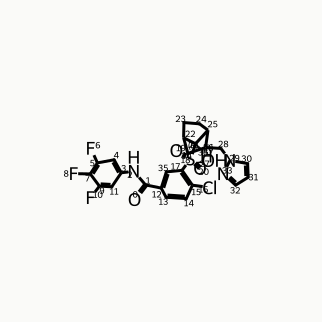 O=C(Nc1cc(F)c(F)c(F)c1)c1ccc(Cl)c(S(=O)(=O)[C@@H]2C3CCC2[C@@](O)(Cn2cccn2)C3)c1